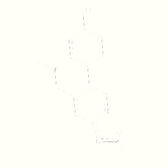 C=C1Oc2cc3[nH]c(=O)sc3cc2-c2ccc(O)cc21